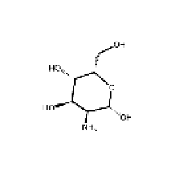 N[C@H]1[C@@H](O)[C@H](O)[C@H](CO)O[C@@H]1O